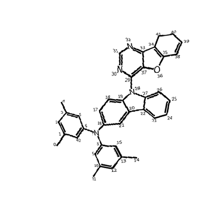 Cc1cc(C)cc(N(c2cc(C)cc(C)c2)c2ccc3c(c2)c2ccccc2n3-c2ncnc3c4c(oc23)C=CCC4)c1